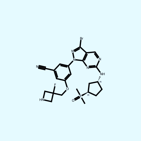 CP(C)(=O)[C@@H]1CC[C@@H](Nc2ncc3c(Br)nn(-c4cc(C#N)cc(OCC5(F)CNC5)c4)c3n2)C1